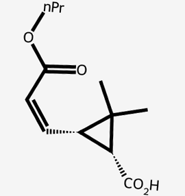 CCCOC(=O)/C=C\[C@H]1[C@@H](C(=O)O)C1(C)C